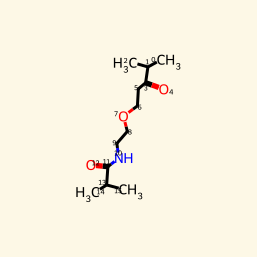 CC(C)C(=O)CCOCCNC(=O)C(C)C